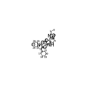 CCc1nc(C(=O)[C@H](CC)NC(=O)O[C@@H](CC2CCCCC2)C(=O)N2CCOCC2)no1